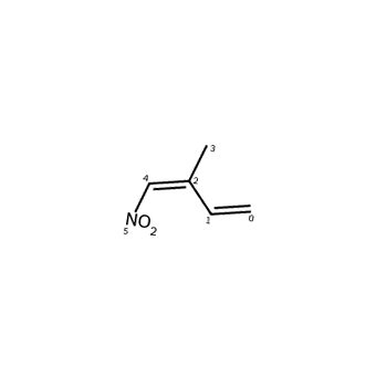 C=CC(C)=C[N+](=O)[O-]